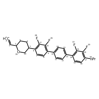 C=CC1CCC(c2ccc(-c3ccc(-c4ccc(CCC)c(F)c4F)cc3)c(F)c2F)CO1